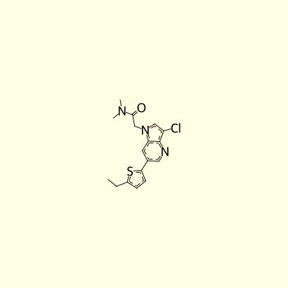 CCc1ccc(-c2cnc3c(Cl)cn(CC(=O)N(C)C)c3c2)s1